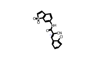 N#C/C(=C\c1ccccc1Cl)C(=O)Nc1ccc2c(c1)S(=O)(=O)C=C2